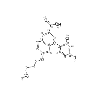 COCCCOc1ccc(/C=C(\C)C(=O)O)c(Oc2ncc(Cl)cc2Cl)c1